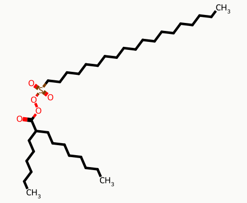 CCCCCCCCCCCCCCCCCCCS(=O)(=O)OOC(=O)C(CCCCCC)CCCCCCCC